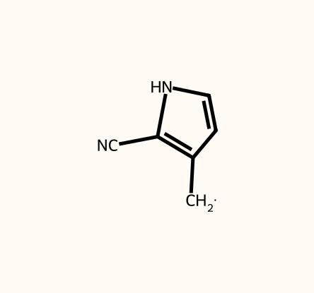 [CH2]c1cc[nH]c1C#N